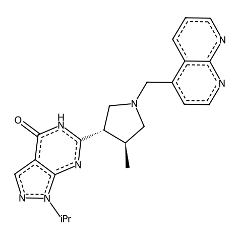 CC(C)n1ncc2c(=O)[nH]c([C@@H]3CN(Cc4ccnc5ncccc45)C[C@H]3C)nc21